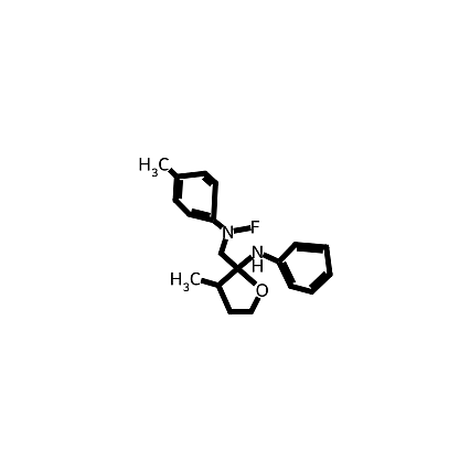 Cc1ccc(N(F)CC2(Nc3ccccc3)OCCC2C)cc1